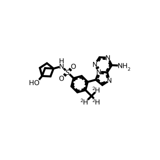 [2H]C([2H])([2H])c1ccc(S(=O)(=O)NC23CCC(O)(C2)C3)cc1-c1cnc2c(N)ncnn12